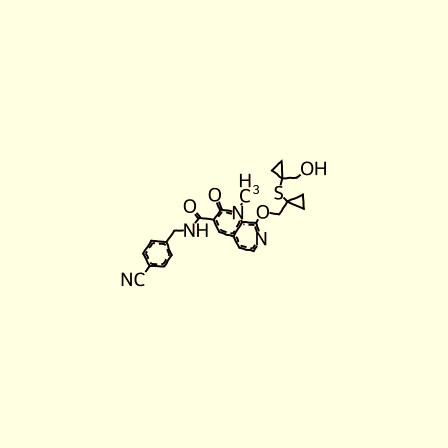 Cn1c(=O)c(C(=O)NCc2ccc(C#N)cc2)cc2ccnc(OCC3(SC4(CO)CC4)CC3)c21